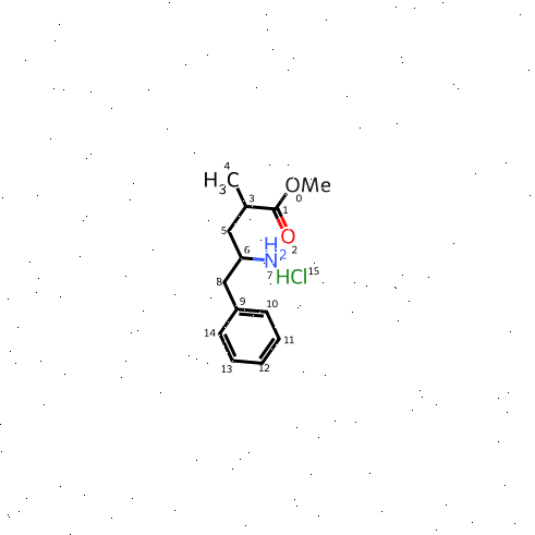 COC(=O)C(C)CC(N)Cc1ccccc1.Cl